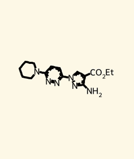 CCOC(=O)c1cn(-c2ccc(N3CCCCC3)nn2)nc1N